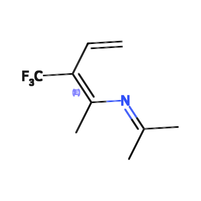 C=C/C(=C(/C)N=C(C)C)C(F)(F)F